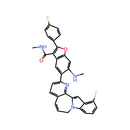 CNC(=O)c1c(-c2ccc(F)cc2)oc2cc(NC)c(-c3ccc4c(n3)-c3cc5c(F)cccc5n3CC=C4)cc12